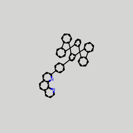 c1ccc2c(c1)-c1ccccc1C21c2ccccc2C2(c3ccccc3-c3ccccc32)c2cc(-c3ccc(-c4ccc5ccc6cccnc6c5n4)cc3)ccc21